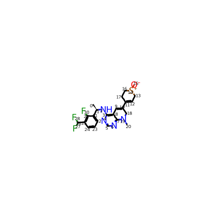 C[C@@H](Nc1ncnc2c1C=C(C1=CC[S+]([O-])CC1)CN2C)c1cccc(C(F)F)c1F